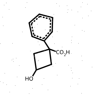 O=C(O)C1(c2ccccc2)CC(O)C1